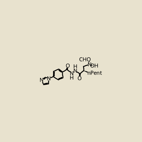 CCCCC[C@H](CN(O)C=O)C(=O)NNC(=O)c1ccc(-n2ccnc2)cc1